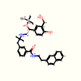 CC(C)(Cc1cccc(C(=O)NCCc2ccc3ccccc3c2)c1)NC[C@H](O[Si](C)(C)C(C)(C)C)c1ccc(O)c(CO)c1